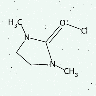 CN1CCN(C)C1=[O+]Cl